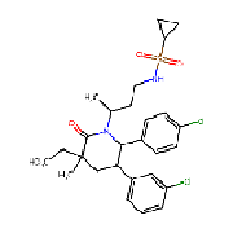 CC(CCNS(=O)(=O)C1CC1)N1C(=O)C(C)(CC(=O)O)CC(c2cccc(Cl)c2)C1c1ccc(Cl)cc1